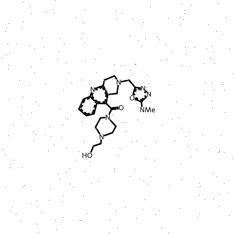 CNc1nnc(CN2CCc3nc4ccccc4c(C(=O)N4CCN(CCO)CC4)c3C2)o1